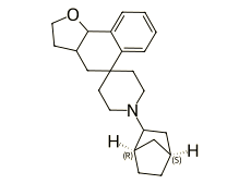 c1ccc2c(c1)C1OCCC1CC21CCN(C2C[C@H]3CC[C@@H]2C3)CC1